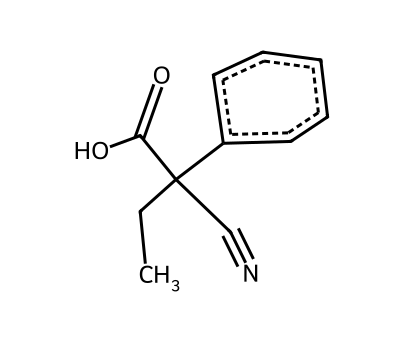 CCC(C#N)(C(=O)O)c1ccccc1